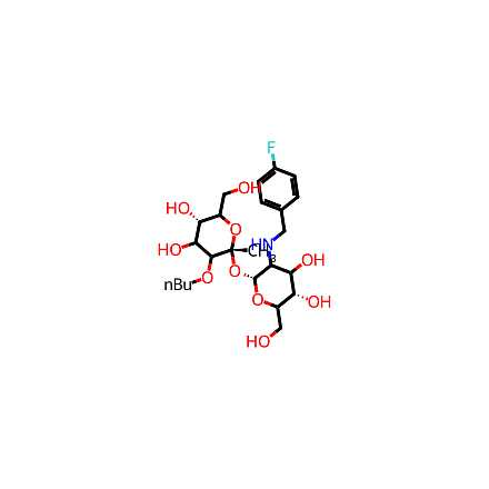 CCCCOC1C(O)[C@H](O)C(CO)O[C@]1(C)O[C@H]1OC(CO)[C@@H](O)C(O)C1NCc1ccc(F)cc1